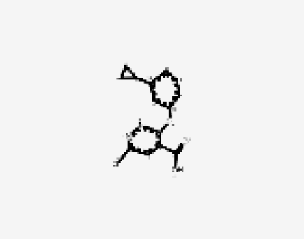 O=C(O)c1cc(Cl)nnc1Oc1cccc(C2CC2)c1